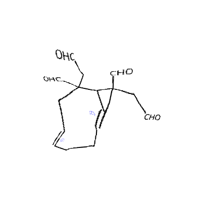 O=CCC1(C=O)C/C=C/CC/C=C2/C1C2(C=O)CC=O